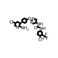 Nc1ncc(Cl)cc1-c1ccc(Oc2ncc(NC(=O)Nc3ccc(Cl)c(C(F)(F)F)c3)cn2)cc1